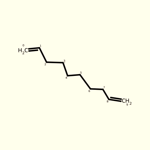 C=CC[CH]CCCCC=C